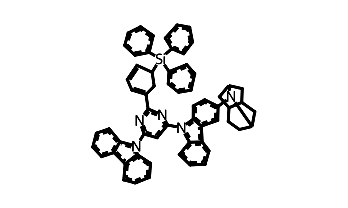 C1=CC([Si](c2ccccc2)(c2ccccc2)c2ccccc2)CC(c2nc(-n3c4ccccc4c4ccccc43)cc(-n3c4ccccc4c4cc(N5C6CCC7CC5CC7C6)ccc43)n2)=C1